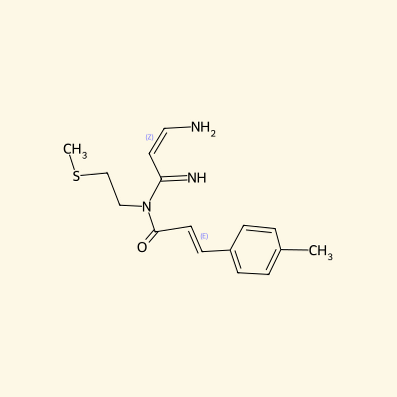 CSCCN(C(=N)/C=C\N)C(=O)/C=C/c1ccc(C)cc1